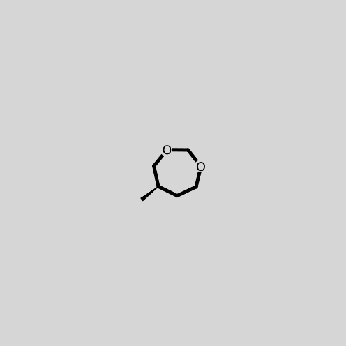 C[C@@H]1CCOCOC1